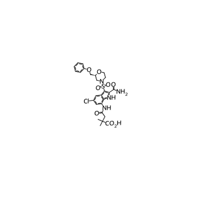 CC(C)(CC(=O)Nc1cc(Cl)cc2c(S(=O)(=O)N3CCO[C@H](COc4ccccc4)C3)c(C(N)=O)[nH]c12)C(=O)O